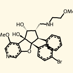 COCCNC[C@H]1[C@@H](O)[C@@]2(O)c3c(OC)cncc3O[C@@]2(c2ccc(Br)cc2)[C@@H]1c1ccccc1